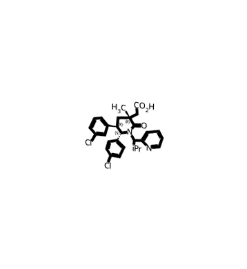 CC(C)C(c1ccccn1)N1C(=O)[C@@](C)(CC(=O)O)C[C@H](c2cccc(Cl)c2)[C@H]1c1ccc(Cl)cc1